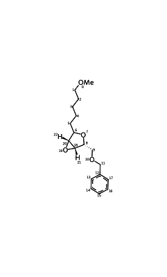 COCCCCCC1O[C@H](COCc2ccccc2)[C@@H]2O[C@H]12